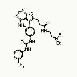 CCN(CC)CCNC(=O)CCc1sc2ncnc(N)c2c1-c1ccc(NC(=O)Nc2cccc(C(F)(F)F)c2)cc1